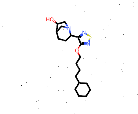 OC1CN2CC1CCC2c1nsnc1OCCCCC1CCCCC1